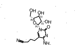 N#CCCCc1cn([C@@H]2O[C@H](CO)[C@@H](O)[C@@H]2O)c(=O)nc1N